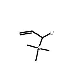 [Li][CH](C=C)[Si](C)(C)C